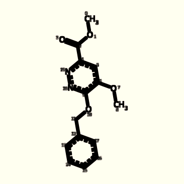 COC(=O)c1cc(OC)c(OCc2ccccc2)nn1